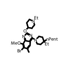 CCCCCC1(CC)CCN(c2nc(OC3CCN(CC)CC3)nc3c(OC)c(Br)c(C)cc23)CC1